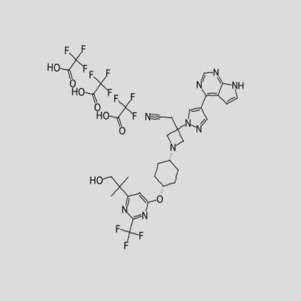 CC(C)(CO)c1cc(O[C@H]2CC[C@@H](N3CC(CC#N)(n4cc(-c5ncnc6[nH]ccc56)cn4)C3)CC2)nc(C(F)(F)F)n1.O=C(O)C(F)(F)F.O=C(O)C(F)(F)F.O=C(O)C(F)(F)F